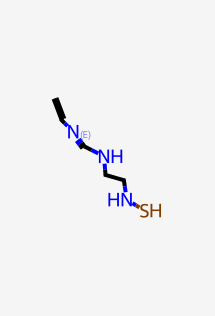 C=C/N=C/NCCNS